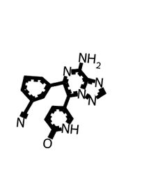 N#Cc1cccc(-c2nc(N)c3ncnn3c2-c2ccc(=O)[nH]c2)c1